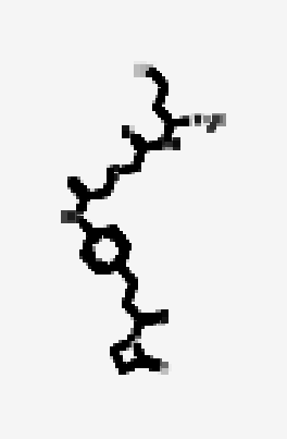 C=C(COCC(=O)NC(CCS)C(=O)O)Nc1ccc(CCC(=O)N2CCC2=O)cc1